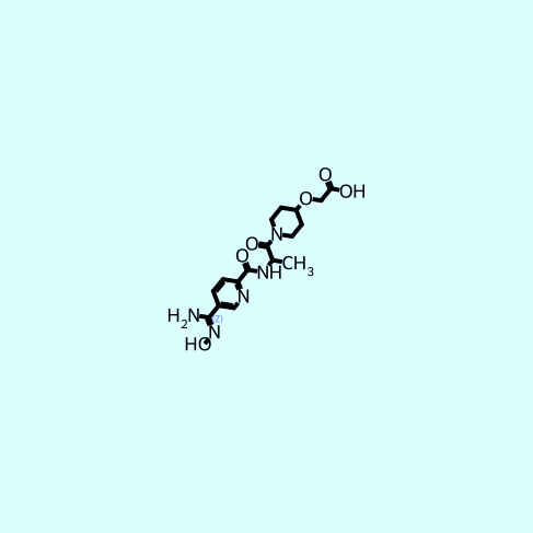 CC(NC(=O)c1ccc(/C(N)=N/O)cn1)C(=O)N1CCC(OCC(=O)O)CC1